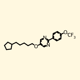 FC(F)(F)Oc1ccc(-c2ncc(OCCCCCC3CCCC3)cn2)cc1